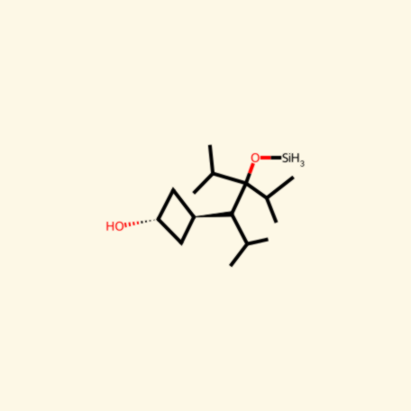 CC(C)C([C@H]1C[C@H](O)C1)C(O[SiH3])(C(C)C)C(C)C